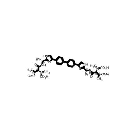 CO[C@H](C)[C@@H](C(=O)N[C@@H](c1nc(-c2ccc(-c3ccc(-c4c[nH]c([C@H](NC(=O)[C@H]([C@@H](C)OC)N(C)C(=O)O)C(C)C)n4)cc3)cc2)c[nH]1)C(C)C)N(C)C(=O)O